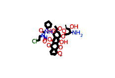 COc1cccc2c1C(=O)c1c(O)c3c(c(O)c1C2=O)C[C@@](O)(C(C)=O)C[C@@H]3O[C@H]1C[C@H](N)[C@H](O)[C@H](C)O1.O=NN(CCCl)C(=O)NC1CCCCC1